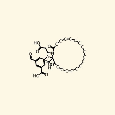 O=[C]c1cc(NC2(C(=O)O)C(=O)CCCCCCCCCCCCCCCCC(=O)N2CCC(=O)O)cc(C(=O)O)c1